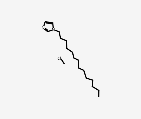 CCCCCCCCCCCCCCn1ccnc1.CCl